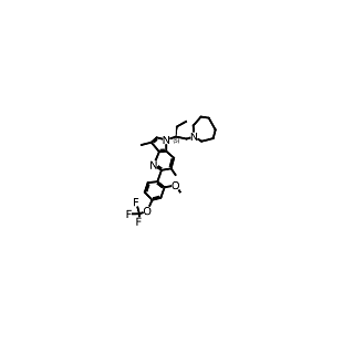 CC[C@@H](CN1CCCCCC1)n1cc(C)c2nc(-c3ccc(OC(F)(F)F)cc3OC)c(C)cc21